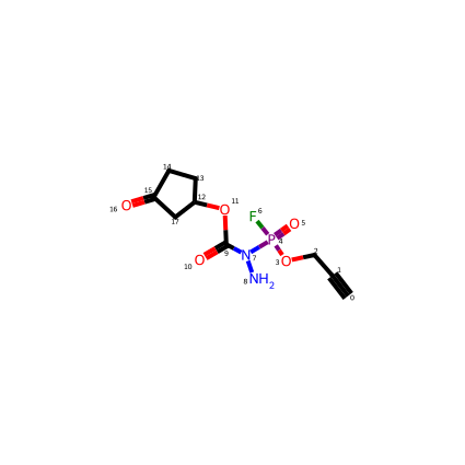 C#CCOP(=O)(F)N(N)C(=O)OC1CCC(=O)C1